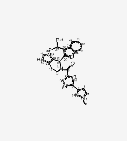 Cn1ccc(-c2nnc(C(=O)N3CCc4[nH]cnc4[C@H]3c3oc4ccccc4c3C(F)F)o2)n1